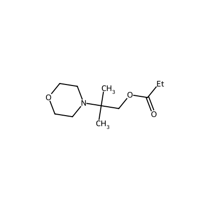 CCC(=O)OCC(C)(C)N1CCOCC1